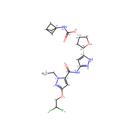 CCn1nc(OCC(F)F)cc1C(=O)Nc1cc([C@@H]2C[C@H](OC(=O)NC34CC(C3)C4)CO2)[nH]n1